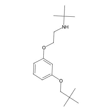 CC(C)(C)COc1cccc(OCCNC(C)(C)C)c1